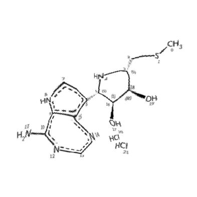 CSC[C@H]1N[C@@H](c2c[nH]c3c(N)ncnc23)[C@H](O)[C@@H]1O.Cl.Cl